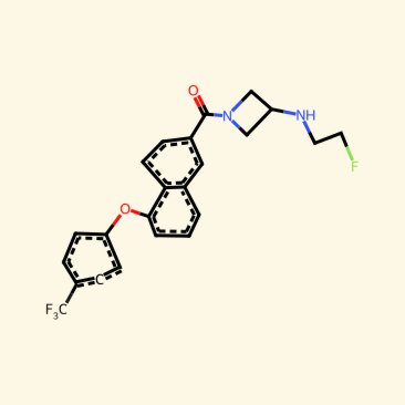 O=C(c1ccc2c(Oc3ccc(C(F)(F)F)cc3)cccc2c1)N1CC(NCCF)C1